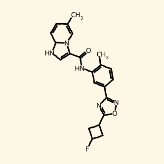 CC1=CN2C(C(=O)Nc3cc(-c4noc(C5CC(F)C5)n4)ccc3C)=CNC2C=C1